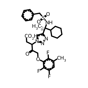 Cc1cc(F)c(F)c(OCC(=O)C(CC(=O)O)n2cc([C@@](C)(NS(=O)(=O)Cc3ccccc3)C3CCCCC3)nn2)c1F